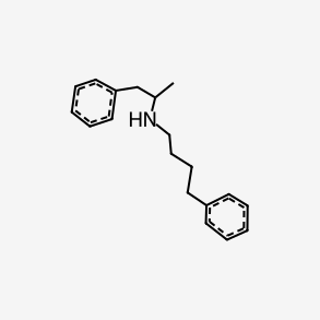 CC(Cc1ccccc1)NCCCCc1ccccc1